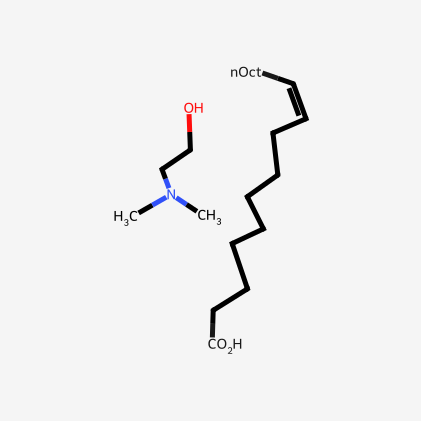 CCCCCCCC/C=C\CCCCCCCC(=O)O.CN(C)CCO